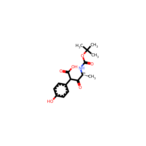 C[C@@H](NC(=O)OC(C)(C)C)C(=O)C(C(=O)O)c1ccc(O)cc1